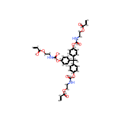 C=CC(=O)OCCNC(=O)Oc1ccc(C(C)(c2ccc(OC(=O)NCCOC(=O)C=C)cc2)c2ccc(OC(=O)NCCOC(=O)C=C)cc2)cc1